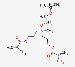 C=C(C)C(=O)OCCC[Si](C)(CCCOC(=O)C(=C)C)O[SiH2][SiH2]O[SiH](C)C